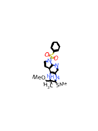 COC[C@]1(C)Nc2c(cnc3c2ccn3S(=O)(=O)c2ccccc2)N=C1SC